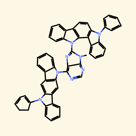 Cn1c(-n2c3ccccc3c3ccc4c(c5ccccc5n4-c4ccccc4)c32)nc2c(-n3c4ccccc4c4cc5c(cc43)c3ccccc3n5C3=CC=CCC3)ncnc21